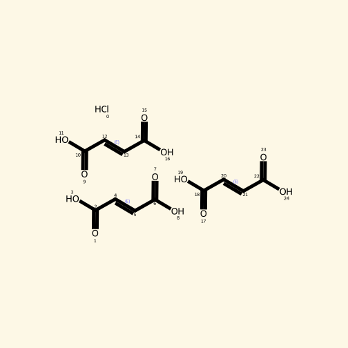 Cl.O=C(O)/C=C/C(=O)O.O=C(O)/C=C/C(=O)O.O=C(O)/C=C/C(=O)O